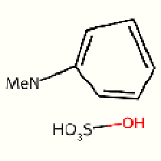 CNc1ccccc1.O=S(=O)(O)O